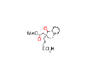 COC(=O)CC1(CCCC(=O)O)CCc2ccccc2C1=O